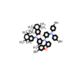 Cc1cc2c3c(c1)N(c1cccc4oc5cc(C(C)(C)C)ccc5c14)c1cc(N(c4ccc(C(C)(C)C)cc4)c4ccc(C(C)(C)C)cc4)ccc1B3c1cc3c(cc1N2c1ccc2c(c1)C(C)(C)CCC2(C)C)C(C)(C)CCC3(C)C